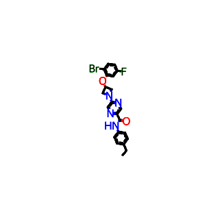 CCc1ccc(NC(=O)c2cnc(N3CC(Oc4cc(F)ccc4Br)C3)cn2)cc1